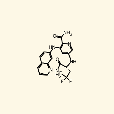 NC(=O)c1ncc(N[C@H](CC(F)(F)F)C(N)=O)cc1Nc1ccc2cccnc2c1